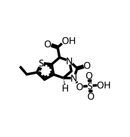 CCc1cc2c(s1)C(C(=O)O)N1C[C@H]2N(OS(=O)(=O)O)C1=O